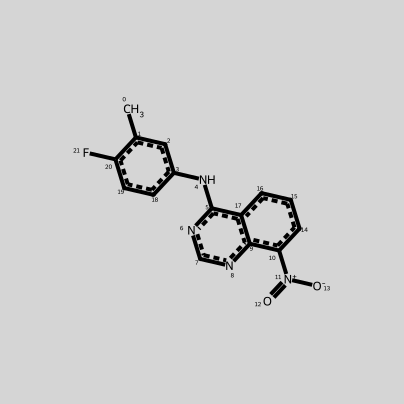 Cc1cc(Nc2ncnc3c([N+](=O)[O-])cccc23)ccc1F